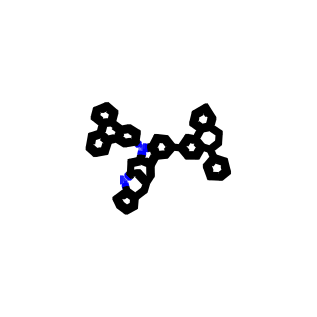 C1=C2C=c3c(n(-c4ccc5c6ccccc6c6ccccc6c5c4)c4ccc(-c5ccc6c(c5)-c5ccccc5CCC6c5ccccc5)cc34)=CC1=Nc1ccccc1C2